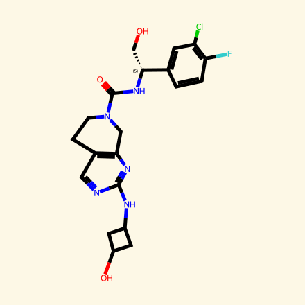 O=C(N[C@H](CO)c1ccc(F)c(Cl)c1)N1CCc2cnc(NC3CC(O)C3)nc2C1